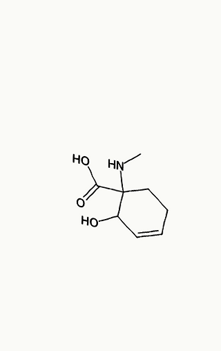 CNC1(C(=O)O)CCC=CC1O